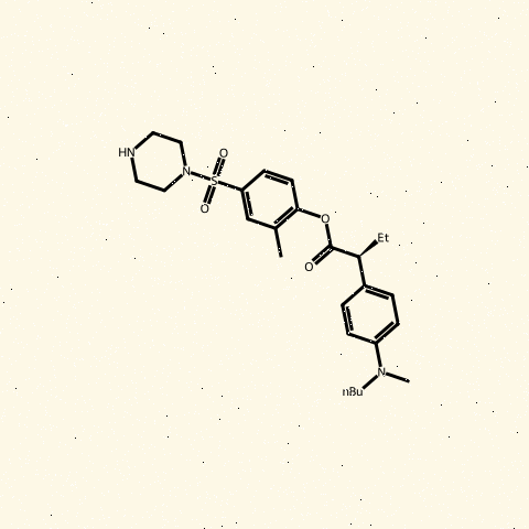 CCCCN(C)c1ccc([C@H](CC)C(=O)Oc2ccc(S(=O)(=O)N3CCNCC3)cc2C)cc1